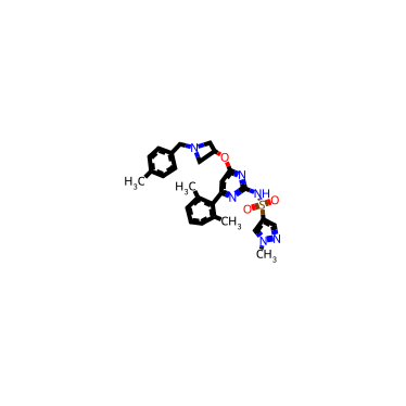 Cc1ccc(CN2CC(Oc3cc(-c4c(C)cccc4C)nc(NS(=O)(=O)c4cnn(C)c4)n3)C2)cc1